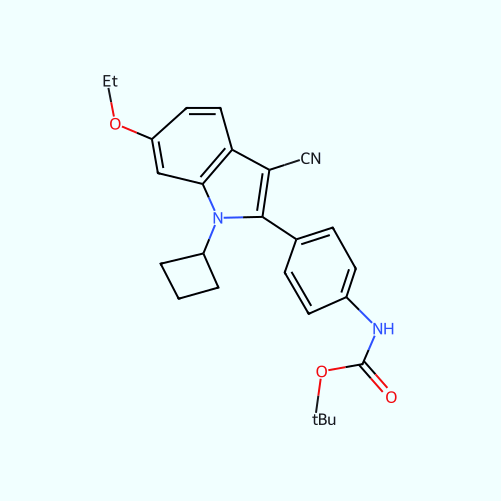 CCOc1ccc2c(C#N)c(-c3ccc(NC(=O)OC(C)(C)C)cc3)n(C3CCC3)c2c1